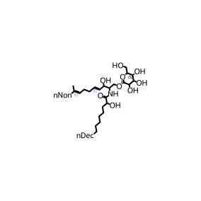 CCCCCCCCCCCCCCCCC(O)C(=O)NC(CO[C@@H]1OC(CO)[C@@H](O)C(O)C1O)C(O)/C=C/CC/C=C(\C)CCCCCCCCC